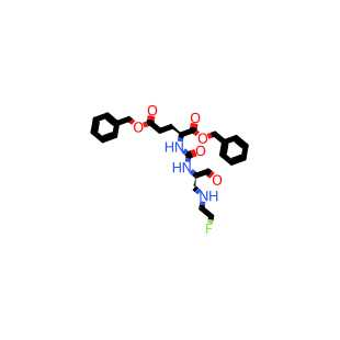 O=C[C@H](CNCCF)NC(=O)N[C@@H](CCC(=O)OCc1ccccc1)C(=O)OCc1ccccc1